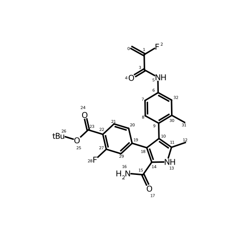 C=C(F)C(=O)Nc1ccc(-c2c(C)[nH]c(C(N)=O)c2-c2ccc(C(=O)OC(C)(C)C)c(F)c2)c(C)c1